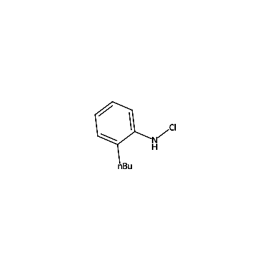 CCCCc1ccccc1NCl